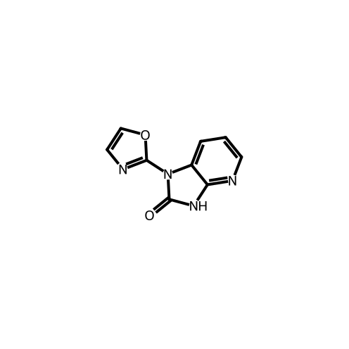 O=c1[nH]c2ncccc2n1-c1ncco1